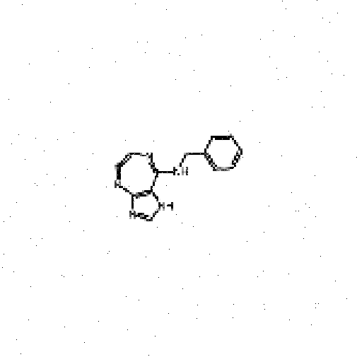 C1=CN=C(NCc2ccccc2)c2[nH]cnc2N=1